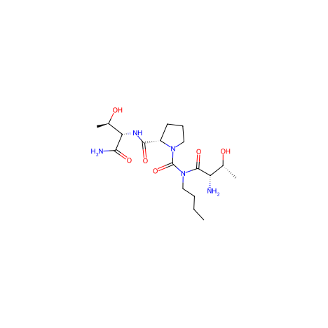 CCCCN(C(=O)[C@@H](N)[C@@H](C)O)C(=O)N1CCC[C@H]1C(=O)N[C@H](C(N)=O)[C@@H](C)O